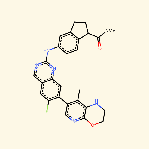 CNC(=O)C1CCc2cc(Nc3ncc4cc(F)c(-c5cnc6c(c5C)NCCO6)cc4n3)ccc21